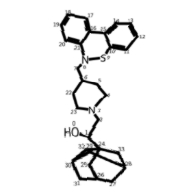 O[C@@H](CN1CCC(CN2Sc3ccccc3-c3ccccc32)CC1)C12CC3CC(CC(C3)C1)C2